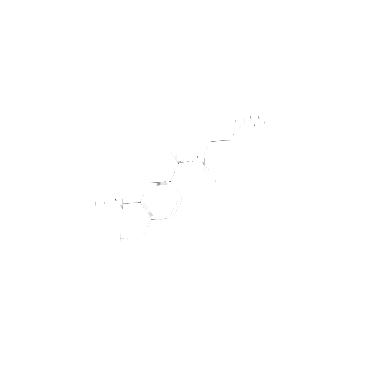 COCC[N+](=S)C(=O)c1ccc(C)c([N+](=O)[O-])c1